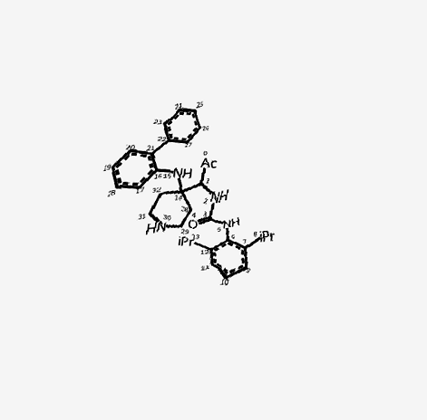 CC(=O)C(NC(=O)Nc1c(C(C)C)cccc1C(C)C)C1(Nc2ccccc2-c2ccccc2)CCNCC1